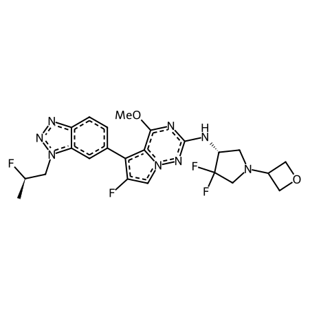 COc1nc(N[C@@H]2CN(C3COC3)CC2(F)F)nn2cc(F)c(-c3ccc4nnn(C[C@@H](C)F)c4c3)c12